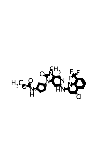 COC(=O)N[C@@H]1CC[C@@H](n2c(=O)n(C)c3cnc(Nc4cc(Cl)c5cccc(C(F)(F)F)c5n4)cc32)C1